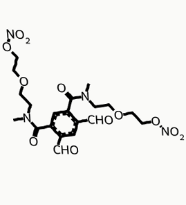 CN(CCOCCO[N+](=O)[O-])C(=O)c1cc(C(=O)N(C)CCOCCO[N+](=O)[O-])c(C=O)cc1C=O